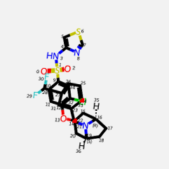 O=S(=O)(Nc1cscn1)c1ccc(OC2C[C@H]3CC[C@@H](C2)N3Cc2cccc(C(F)F)c2)c(Cl)c1